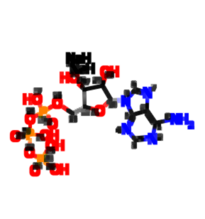 Nc1ncnc2c1ncn2[C@@H]1O[C@H](COP(=O)(O)OP(=O)(O)OP(=O)(O)O)[C@@H](O)[C@H]1O.[NaH].[NaH]